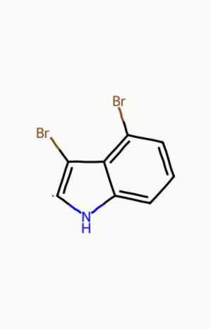 Brc1[c][nH]c2cccc(Br)c12